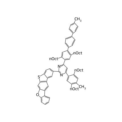 CCCCCCCCc1cc(-c2cc(-c3cc(CCCCCCCC)c(-c4ccc(-c5ccc(C)cc5)cc4)cc3CCCCCCCC)nc(-c3ccc4sc5cc6oc7ccccc7c6cc5c4c3)n2)c(CCCCCCCC)cc1C